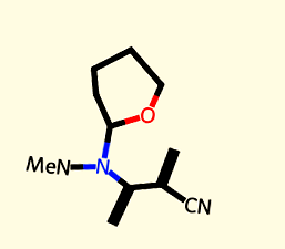 C=C(C#N)C(=C)N(NC)C1CCCCO1